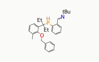 CCC(CC)(Pc1ccccc1/C=N/C(C)(C)C)c1cccc(C)c1OCc1ccccc1